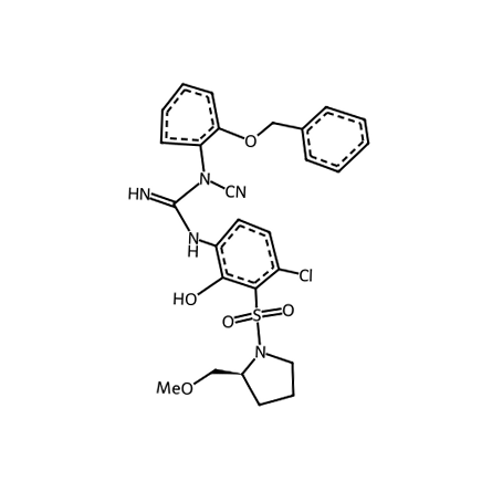 COC[C@@H]1CCCN1S(=O)(=O)c1c(Cl)ccc(NC(=N)N(C#N)c2ccccc2OCc2ccccc2)c1O